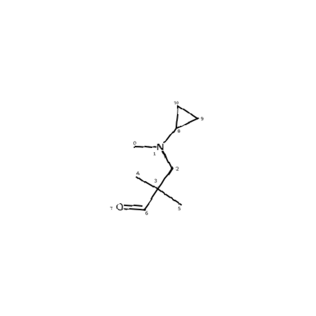 CN(CC(C)(C)C=O)C1CC1